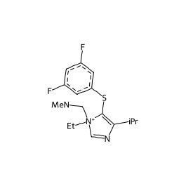 CC[N+]1(CNC)C=NC(C(C)C)=C1Sc1cc(F)cc(F)c1